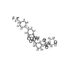 O=C(Nc1ccc(-c2ccc(C(F)(F)F)cc2)cc1C(=O)O)c1cccc(S(=O)(=O)N2CCOCC2)c1